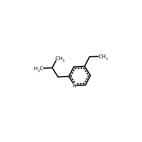 CCc1ccnc(CC(C)C)c1